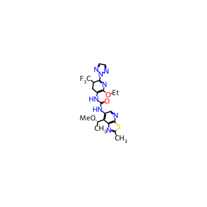 CCOC1=C(NC(=O)Nc2cnc3sc(C)nc3c2[C@H](C)OC)CC(C(F)(F)F)C(n2nccn2)=N1